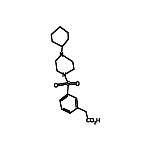 O=C(O)Cc1cccc(S(=O)(=O)N2CCN(C3CCCCC3)CC2)c1